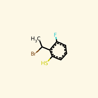 CC(Br)c1c(F)cccc1S